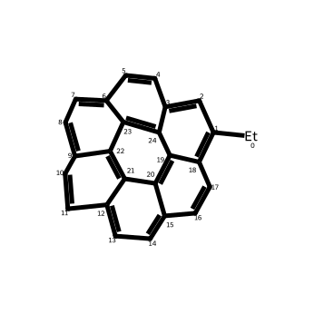 CCc1cc2ccc3ccc4ccc5ccc6ccc1c1c6c5c4c3c21